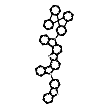 c1ccc2c(c1)-c1ccccc1C21c2ccccc2-c2ccc(-n3c4ccccc4c4c5oc6c(ccc7c6c6ccccc6n7-c6ccc7sc8ccccc8c7c6)c5ccc43)cc21